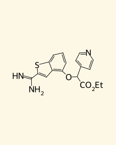 CCOC(=O)C(Oc1cccc2sc(C(=N)N)cc12)c1ccncc1